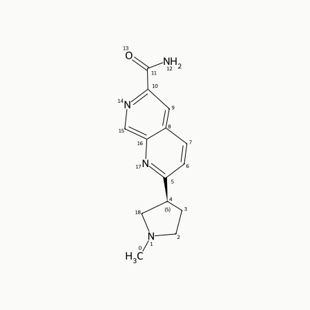 CN1CC[C@H](c2ccc3cc(C(N)=O)ncc3n2)C1